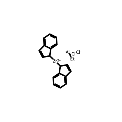 C1=C[CH]([Zr+2][CH]2C=Cc3ccccc32)c2ccccc21.C[CH2][Al].[Cl-].[Cl-]